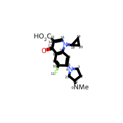 CNC1CCN(c2cc3c(cc2F)c(=O)c(C(=O)O)cn3C2CC2)C1